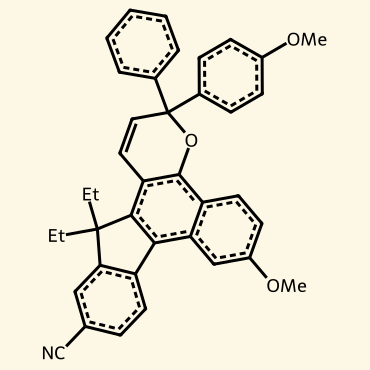 CCC1(CC)c2cc(C#N)ccc2-c2c1c1c(c3ccc(OC)cc23)OC(c2ccccc2)(c2ccc(OC)cc2)C=C1